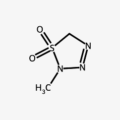 CN1N=NCS1(=O)=O